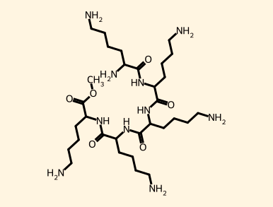 COC(=O)C(CCCCN)NC(=O)C(CCCCN)NC(=O)C(CCCCN)NC(=O)C(CCCCN)NC(=O)C(N)CCCCN